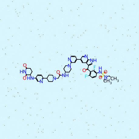 CCN(C)S(=O)(=O)Nc1ccc(F)c(C(=O)c2c[nH]c3ncc(-c4ccnc(N5CCC(NC(=O)CN6CCC(c7ccc(NC8CCC(=O)NC8=O)cn7)CC6)CC5)c4)cc23)c1F